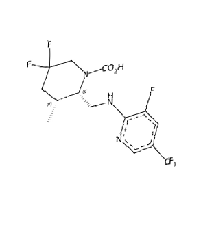 C[C@@H]1CC(F)(F)CN(C(=O)O)[C@@H]1CNc1ncc(C(F)(F)F)cc1F